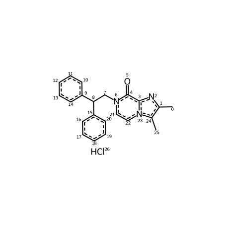 Cc1nc2c(=O)n(CC(c3ccccc3)c3ccccc3)ccn2c1C.Cl